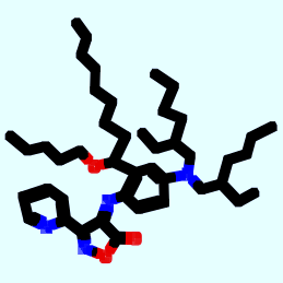 CCCCCCCCC(OCCCCC)c1cc(N(CC(CC)CCCC)CC(CC)CCCC)ccc1N=C1C(=O)ON=C1c1ccccn1